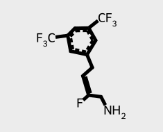 NC/C(F)=C\Cc1cc(C(F)(F)F)cc(C(F)(F)F)c1